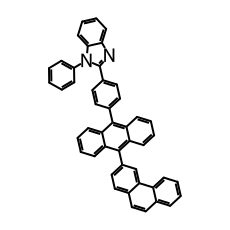 c1ccc(-n2c(-c3ccc(-c4c5ccccc5c(-c5ccc6ccc7ccccc7c6c5)c5ccccc45)cc3)nc3ccccc32)cc1